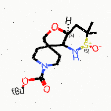 CC(C)(C)OC(=O)N1CCC2(CC1)CO[C@H]1CC(C)(C)[S@@+]([O-])NC12